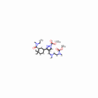 CC(C)CN(C)C(=O)[C@H]1CC(c2nn(C(=O)OC(C)(C)C)cc2CN(C)CCN(C)C(=O)OC(C)(C)C)CCC1(C)C